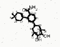 CC1(C)CC=C(c2cc(C3CC4(C)OC(C)(C3)C(O)C4O)ccc2C(N)=O)CC1